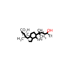 CCCC1C(C(C)(C)CC[C@@H](O)CC)CC[C@@]2(C)C1CC[C@@H]2[C@H](C)CCC(=O)O